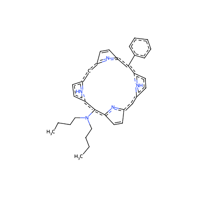 CCCCN(CCCC)c1c2nc(cc3ccc([nH]3)c(-c3ccccc3)c3nc(cc4ccc1[nH]4)C=C3)C=C2